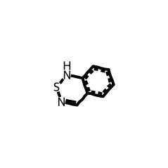 C1=NSNc2ccccc21